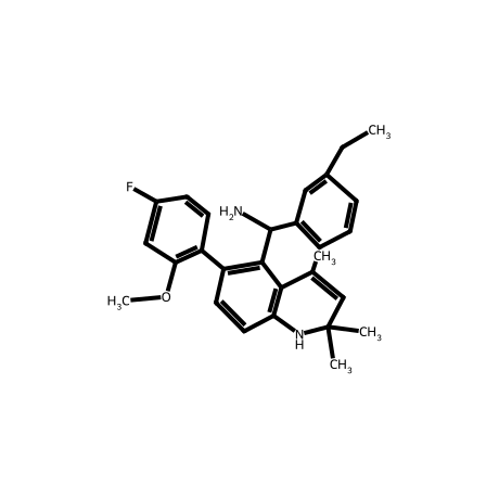 CCc1cccc(C(N)c2c(-c3ccc(F)cc3OC)ccc3c2C(C)=CC(C)(C)N3)c1